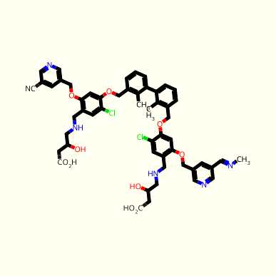 C/N=C/c1cncc(COc2cc(OCc3cccc(-c4cccc(COc5cc(OCc6cncc(C#N)c6)c(CNCC(O)CC(=O)O)cc5Cl)c4C)c3C)c(Cl)cc2CNCC(O)CC(=O)O)c1